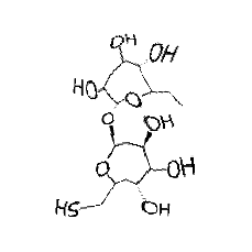 CCC1O[C@H](O[C@@H]2OC(CS)[C@@H](O)C(O)[C@@H]2O)C(O)C(O)[C@@H]1O